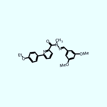 CCOc1ccc(-c2cccc(C(=O)N(C)N=Cc3cc(OC)cc(OC)c3)n2)cc1